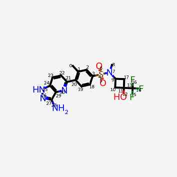 Cc1cc(S(=O)(=O)N(C)C2CC(O)(C(F)(F)F)C2)ccc1-c1ccc2[nH]nc(N)c2n1